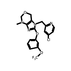 CN1COCc2c1nc(Oc1cccc(OC(F)(F)F)c1)n2Cc1cc(Cl)ccn1